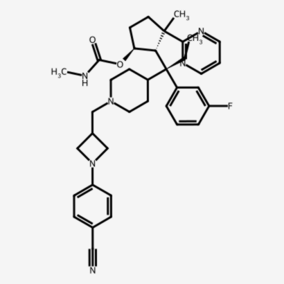 CC[C@@](c1cccc(F)c1)(C1CCN(CC2CN(c3ccc(C#N)cc3)C2)CC1)[C@@H]1[C@@H](OC(=O)NC)CCC1(C)c1ncccn1